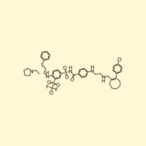 O=C(NS(=O)(=O)c1ccc(N[C@H](CCN2CCCC2)CSc2ccccc2)c(S(=O)(=O)C(F)(F)Cl)c1)c1ccc(NCCNCC2=C(c3ccc(Cl)cc3)CCCCC2)cc1